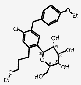 CCOCCCc1cc(Cl)c(Cc2ccc(OCC)cc2)cc1[C@@H]1O[C@H](CO)[C@@H](O)[C@H](O)[C@H]1O